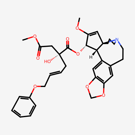 COC(=O)C[C@](O)(C/C=C/COc1ccccc1)C(=O)O[C@@H]1C(OC)=CC23CCCN2CCc2cc4c(cc2[C@H]13)OCO4